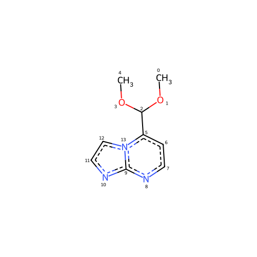 COC(OC)c1ccnc2nccn12